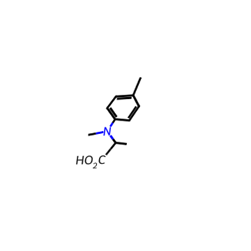 Cc1ccc(N(C)C(C)C(=O)O)cc1